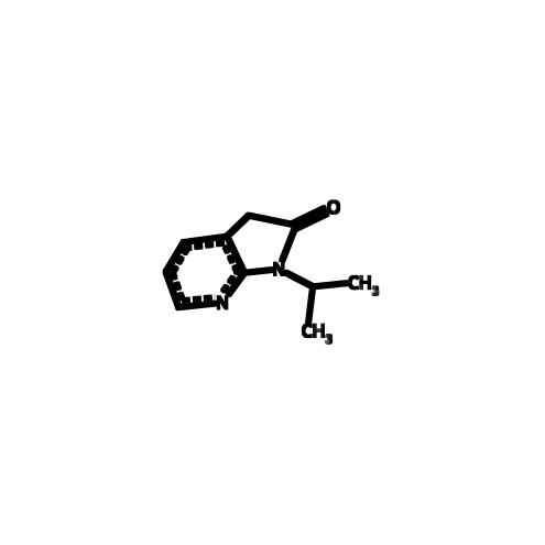 CC(C)N1C(=O)Cc2cccnc21